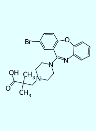 CC(C)(CN1CCN(C2=Nc3ccccc3Oc3ccc(Br)cc32)CC1)C(=O)O